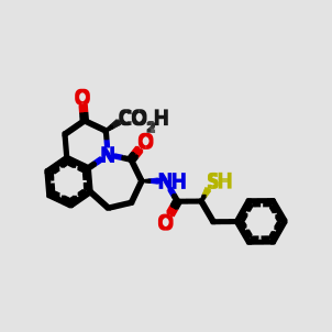 O=C(O)[C@@H]1C(=O)Cc2cccc3c2N1C(=O)[C@@H](NC(=O)[C@@H](S)Cc1ccccc1)CC3